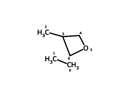 CC.CC1COC1